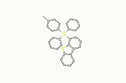 Cc1ccc(S(c2ccccc2)(c2ccccc2)c2cccc3c2sc2ccccc23)cc1